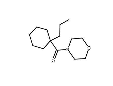 CCCC1(C(=O)N2CCOCC2)CCCCC1